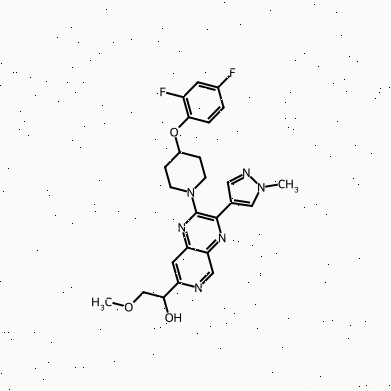 COCC(O)c1cc2nc(N3CCC(Oc4ccc(F)cc4F)CC3)c(-c3cnn(C)c3)nc2cn1